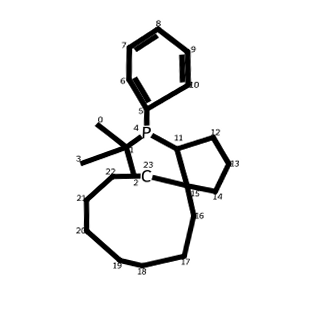 CC(C)(C)P(c1ccccc1)C1CCCC12CCCCCCCC2